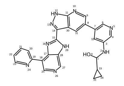 OC(Nc1cncc(-c2cnc3[nH]nc(-c4nc5c(-c6ccccn6)cncc5[nH]4)c3c2)c1)C1CC1